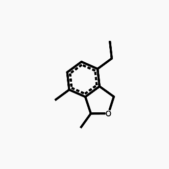 CCc1ccc(C)c2c1COC2C